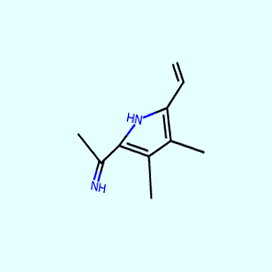 C=Cc1[nH]c(C(C)=N)c(C)c1C